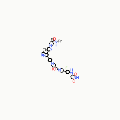 CCC1(C(=O)NC(C)C)CCN(c2ccc(-c3cc(-c4ccc(N5CCC(O)(CCN6CCC(c7ccc(NC8CCC(=O)NC8=O)cc7F)CC6)CC5)cc4)cn4ncc(C#N)c34)cn2)CC1